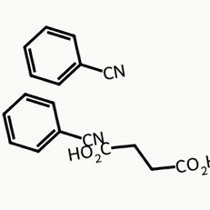 N#Cc1ccccc1.N#Cc1ccccc1.O=C(O)CCC(=O)O